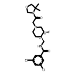 CC1(C)COCN1C(=O)CN1CC[C@H](CNC(=O)c2cc(Cl)cc(Cl)c2)[C@H](F)C1